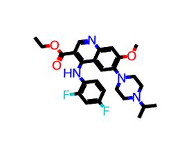 CCOC(=O)c1cnc2cc(OC)c(N3CCN(C(C)C)CC3)cc2c1Nc1ccc(F)cc1F